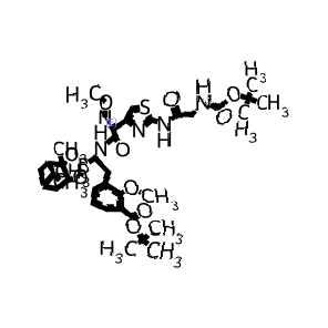 CO/N=C(/C(=O)NC(Cc1cccc(C(=O)OC(C)(C)C)c1OC)B1OC2CC3CC(C3(C)C)C2(C)O1)c1csc(NC(=O)CNC(=O)OC(C)(C)C)n1